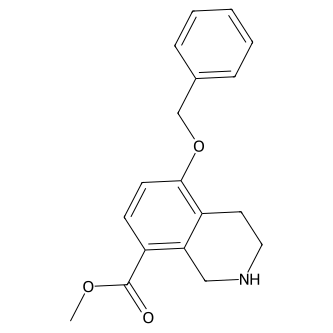 COC(=O)c1ccc(OCc2ccccc2)c2c1CNCC2